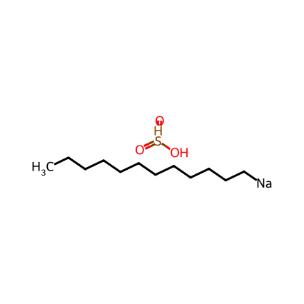 CCCCCCCCCCC[CH2][Na].O=[SH](=O)O